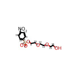 O=[N+]([O-])c1ccc(S(=O)(=O)OCCOCCOCCO)cc1